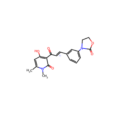 Cc1cc(O)c(C(=O)/C=C/c2cccc(N3CCOC3=O)c2)c(=O)n1C